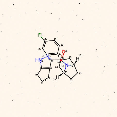 O=C(c1n[nH]c2c1CCC2)N1[C@@H]2CC[C@H]1C[C@@H](c1ccc(F)cc1)C2